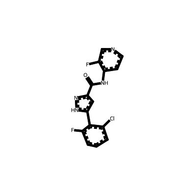 O=C(Nc1ccncc1F)c1cc(-c2c(F)cccc2Cl)[nH]n1